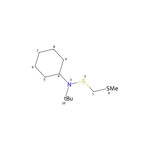 CSCSN(C1CCCCC1)C(C)(C)C